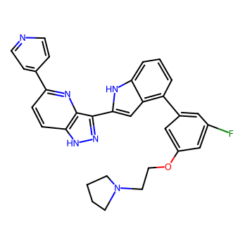 Fc1cc(OCCN2CCCC2)cc(-c2cccc3[nH]c(-c4n[nH]c5ccc(-c6ccncc6)nc45)cc23)c1